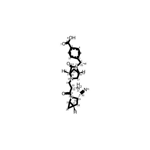 C[C@@H](c1ccc(C(=O)O)cc1)N1C(=O)[C@@H]2C[C@H]1CN2C[C@H](N)C(=O)N1C2C[C@H]2C[C@H]1C#N